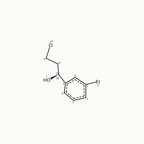 CCc1cccc([C@@H](O)CCCl)c1